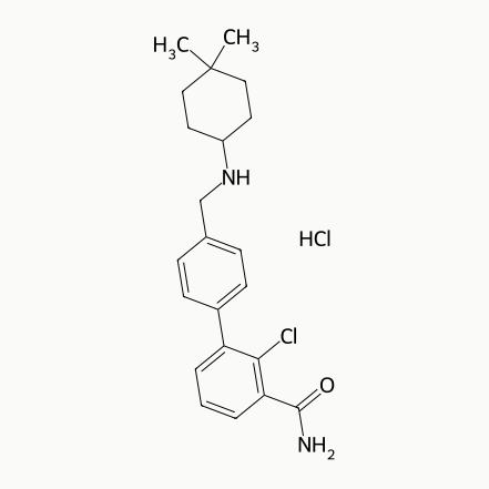 CC1(C)CCC(NCc2ccc(-c3cccc(C(N)=O)c3Cl)cc2)CC1.Cl